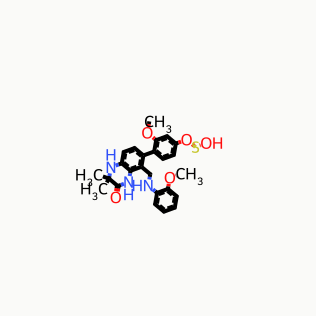 COc1ccccc1NCc1c(-c2ccc(OSO)cc2OC)ccc2c1NC(=O)C(C)(C)N2